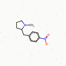 CN1CCCC1Cc1ccc([N+](=O)[O-])cc1